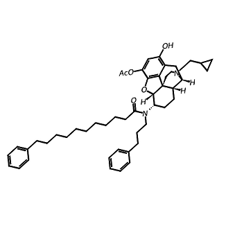 CC(=O)Oc1cc(O)c2c3c1O[C@H]1[C@@H](N(CCCc4ccccc4)C(=O)CCCCCCCCCCc4ccccc4)CC[C@H]4[C@@H](C2)N(CC2CC2)CC[C@@]341